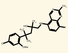 COc1cc(Cl)ccc1C(C)(C)CC(O)(CNc1ccc(F)c2nc(C)ncc12)C(F)(F)F